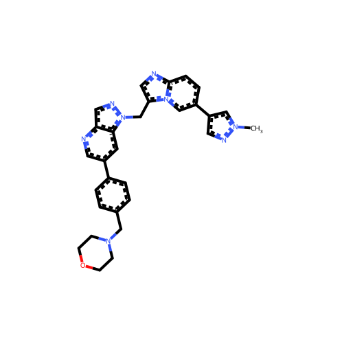 Cn1cc(-c2ccc3ncc(Cn4ncc5ncc(-c6ccc(CN7CCOCC7)cc6)cc54)n3c2)cn1